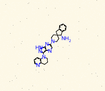 N[C@H]1c2ccccc2CC12CCN(c1cnc3c(N4CCCc5ncccc54)n[nH]c3n1)CC2